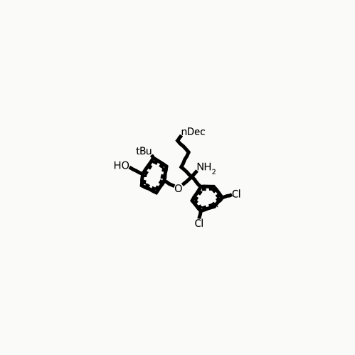 CCCCCCCCCCCCCC(N)(Oc1ccc(O)c(C(C)(C)C)c1)c1cc(Cl)[c]c(Cl)c1